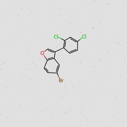 Clc1ccc(-c2coc3ccc(Br)cc23)c(Cl)c1